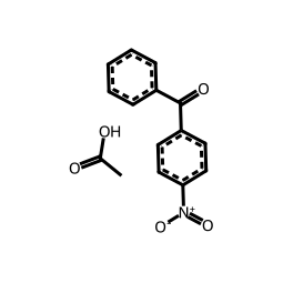 CC(=O)O.O=C(c1ccccc1)c1ccc([N+](=O)[O-])cc1